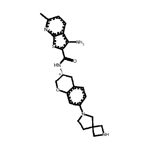 Cc1ccc2c(N)c(C(=O)N[C@H]3COc4cc(N5CCC6(CNC6)C5)ccc4C3)sc2n1